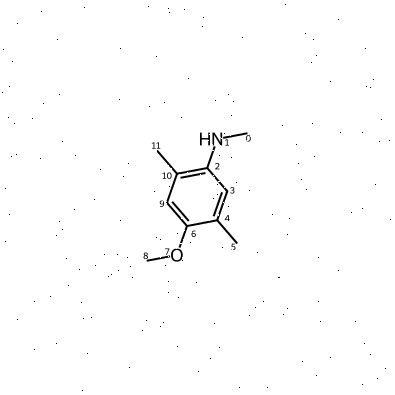 CNc1cc(C)c(OC)cc1C